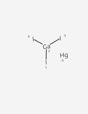 [Hg].[I][Ga]([I])[I]